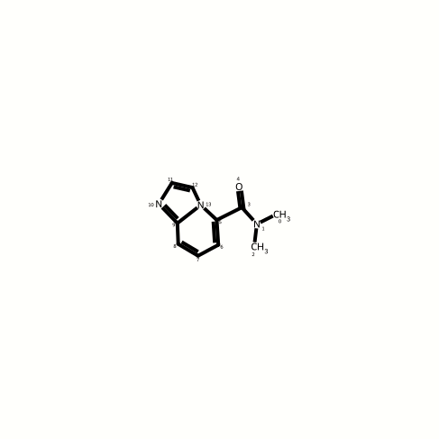 CN(C)C(=O)c1cccc2nccn12